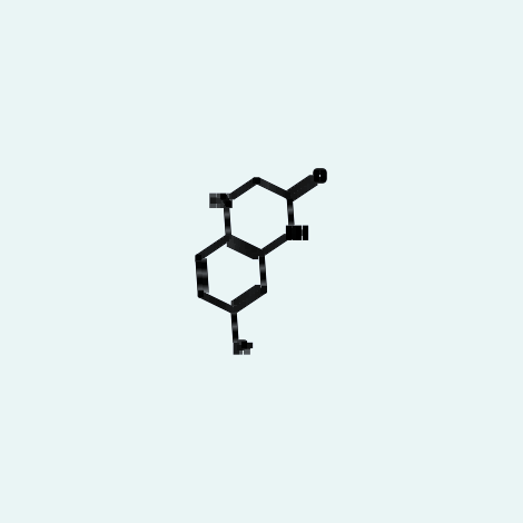 CC(C)c1ccc2c(c1)NC(=O)CN2